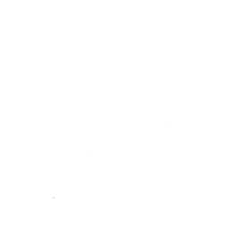 O=C(c1ccc(F)cc1)c1cc(Cl)c(Br)s1